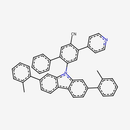 Cc1ccccc1-c1ccc2c3ccc(-c4ccccc4C)cc3n(-c3cc(-c4ccncc4)c(C#N)cc3-c3ccccc3)c2c1